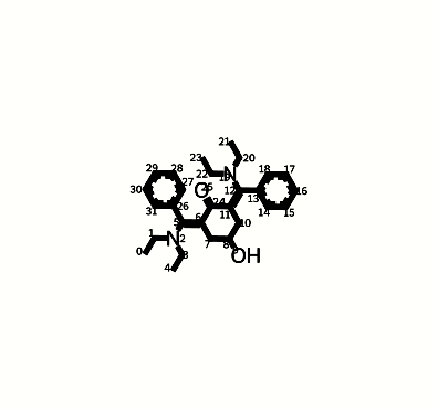 CCN(CC)C(=C1CC(O)CC(=C(c2ccccc2)N(CC)CC)C1=O)c1ccccc1